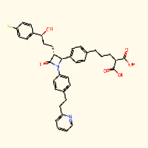 O=C(O)C(CCCc1ccc([C@@H]2[C@@H](CC[C@H](O)c3ccc(F)cc3)C(=O)N2c2ccc(CCc3ccccn3)cc2)cc1)C(=O)O